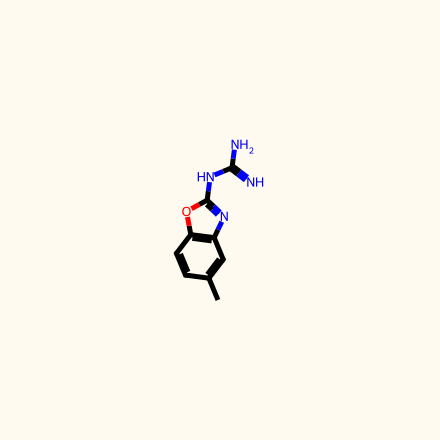 Cc1ccc2oc(NC(=N)N)nc2c1